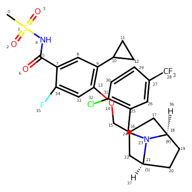 CS(=O)(=O)NC(=O)c1cc(C2CC2)c(OCC2C[C@H]3CC[C@@H](C2)N3Cc2cc(C(F)(F)F)ccc2Cl)cc1F